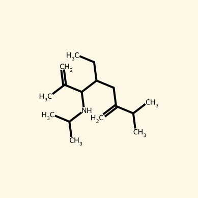 C=C(CC(CC)C(NC(C)C)C(=C)C)C(C)C